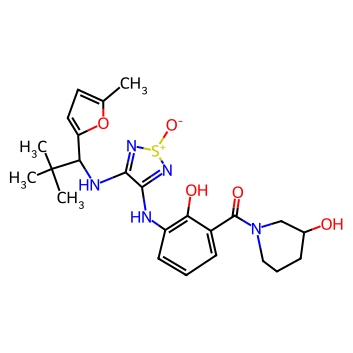 Cc1ccc(C(Nc2n[s+]([O-])nc2Nc2cccc(C(=O)N3CCCC(O)C3)c2O)C(C)(C)C)o1